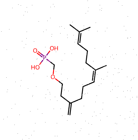 C=C(CCC=C(C)CCC=C(C)C)CCOCP(=O)(O)O